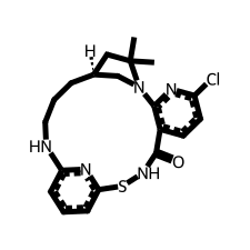 CC1(C)C[C@@H]2CCCNc3cccc(n3)SNC(=O)c3ccc(Cl)nc3N1C2